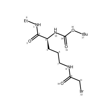 CCNC(=O)[C@H](CCCNC(=O)CBr)NC(=O)OC(C)(C)C